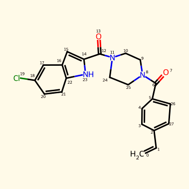 C=Cc1ccc(C(=O)N2CCN(C(=O)c3cc4cc(Cl)ccc4[nH]3)CC2)cc1